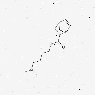 CN(C)CCCCOC(=O)C1CC2C=CC1C2